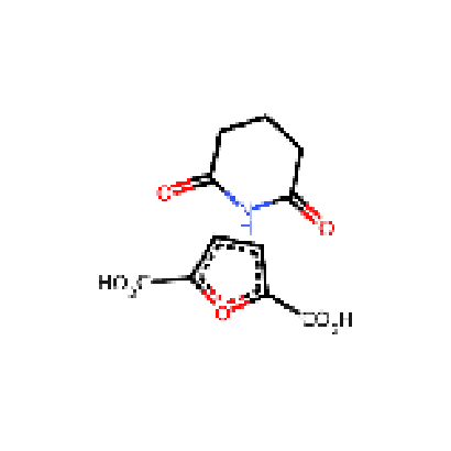 O=C(O)c1ccc(C(=O)O)o1.O=C1CCCC(=O)N1